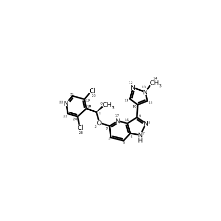 C[C@@H](Oc1ccc2[nH]nc(-c3cnn(C)c3)c2n1)c1c(Cl)cncc1Cl